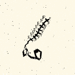 FC(F)(F)C(F)(F)C(F)(F)C(F)(F)C(F)(F)C(F)(F)C(F)(F)C(F)(F)CCCn1cc[n+](Cc2ccccc2)c1